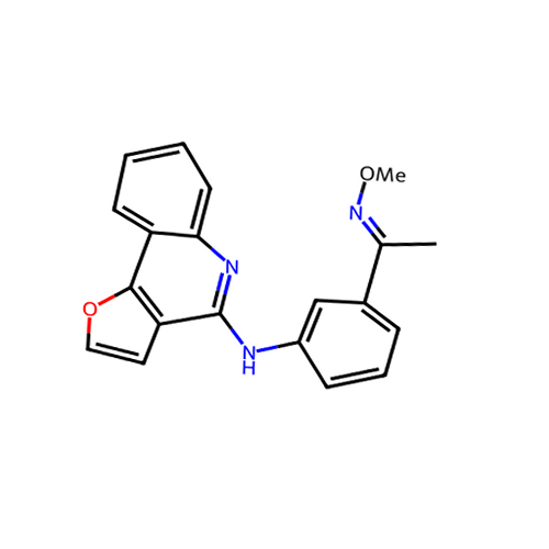 CON=C(C)c1cccc(Nc2nc3ccccc3c3occc23)c1